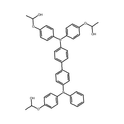 CC(O)Oc1ccc(N(c2ccccc2)c2ccc(-c3ccc(N(c4ccc(OC(C)O)cc4)c4ccc(OC(C)O)cc4)cc3)cc2)cc1